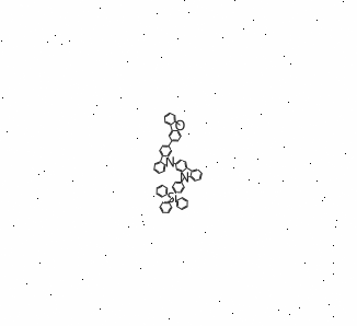 c1ccc([Si](c2ccccc2)(c2ccccc2)c2ccc(-n3c4ccccc4c4ccc(-n5c6ccccc6c6ccc(-c7ccc8oc9ccccc9c8c7)cc65)cc43)cc2)cc1